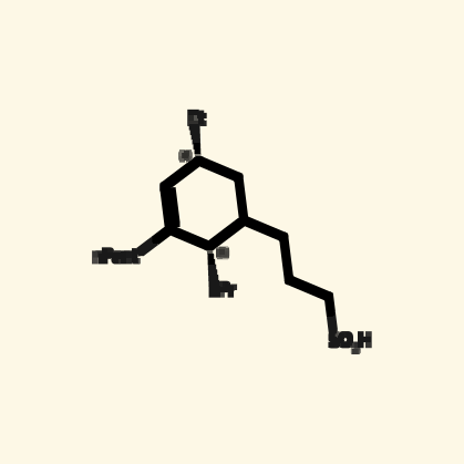 CCCCCC1=C[C@H](CC)CC(CCCS(=O)(=O)O)[C@@H]1CCC